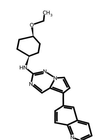 CCO[C@H]1CC[C@@H](Nc2ncc3c(-c4ccc5ncccc5c4)ccn3n2)CC1